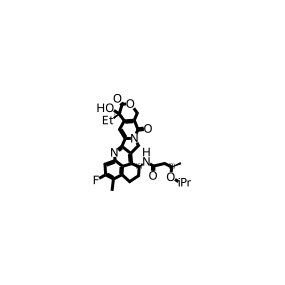 CC[C@@]1(O)C(=O)OCc2c1cc1n(c2=O)Cc2c-1nc1cc(F)c(C)c3c1c2[C@@H](NC(=O)C[C@@H](C)OC(C)C)CC3